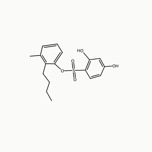 CCCCc1c(C)cccc1OS(=O)(=O)c1ccc(O)cc1O